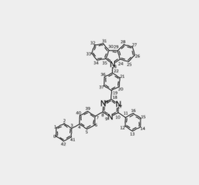 c1ccc(-c2ccc(-c3nc(-c4ccccc4)nc(-c4ccc(-n5c6ccccc6c6ccccc65)cc4)n3)cc2)cc1